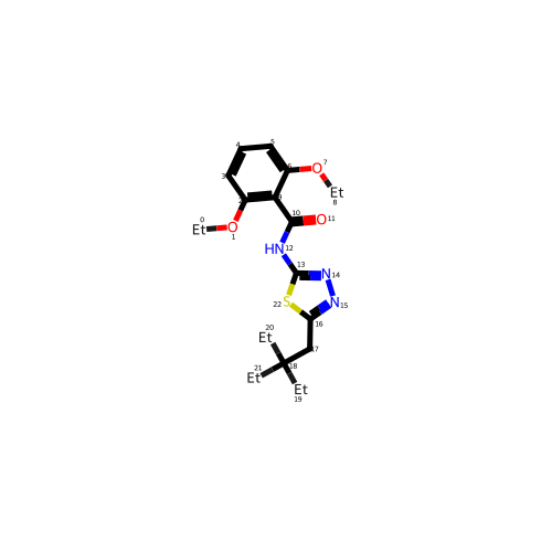 CCOc1cccc(OCC)c1C(=O)Nc1nnc(CC(CC)(CC)CC)s1